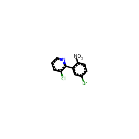 O=[N+]([O-])c1ccc(Br)cc1-c1ncccc1Cl